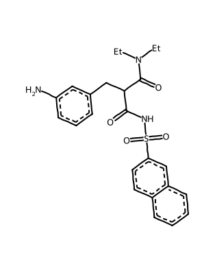 CCN(CC)C(=O)C(Cc1cccc(N)c1)C(=O)NS(=O)(=O)c1ccc2ccccc2c1